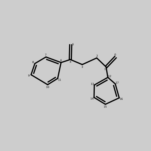 C=C(CCC(=C)c1ccccc1)c1ccccc1